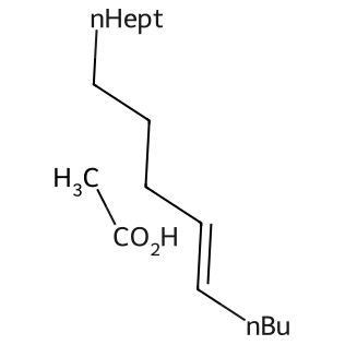 CC(=O)O.CCCCC=CCCCCCCCCCC